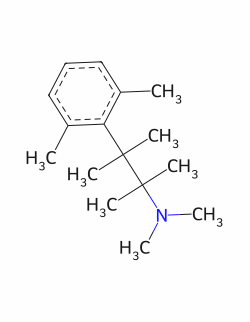 Cc1cccc(C)c1C(C)(C)C(C)(C)N(C)C